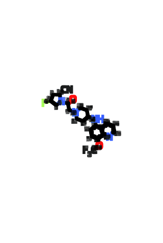 N#C[C@@H]1C[C@H](F)CN1C(=O)CN1CCC(Nc2ccc(OC(F)(F)F)c3ncccc23)CC1